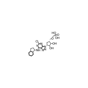 O=P(O)(O)COC[C@H]1C[C@@H](n2nnc3c(NC4CCc5ccccc54)nc(Cl)nc32)[C@H](O)[C@@H]1O